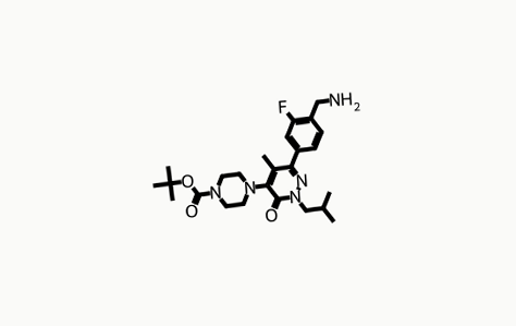 Cc1c(-c2ccc(CN)c(F)c2)nn(CC(C)C)c(=O)c1N1CCN(C(=O)OC(C)(C)C)CC1